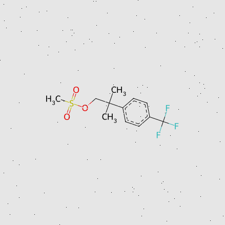 CC(C)(COS(C)(=O)=O)c1ccc(C(F)(F)F)cc1